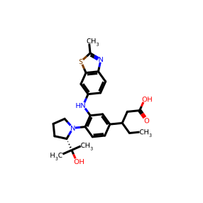 CCC(CC(=O)O)c1ccc(N2CCC[C@H]2C(C)(C)O)c(Nc2ccc3nc(C)sc3c2)c1